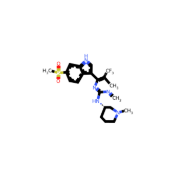 C=N/C(=N\C(=C(/C)C(F)(F)F)c1c[nH]c2cc(S(C)(=O)=O)ccc12)N[C@H]1CCCN(C)C1